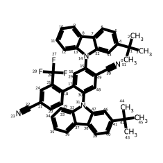 CC(C)(C)c1ccc2c3ccccc3n(-c3cc(-c4ccc(C#N)cc4C(F)(F)F)c(-n4c5ccccc5c5ccc(C(C)(C)C)cc54)cc3C#N)c2c1